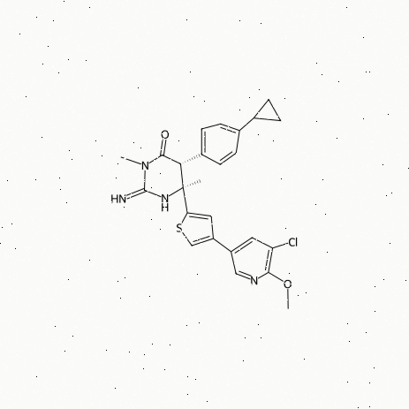 COc1ncc(-c2csc([C@@]3(C)NC(=N)N(C)C(=O)[C@@H]3c3ccc(C4CC4)cc3)c2)cc1Cl